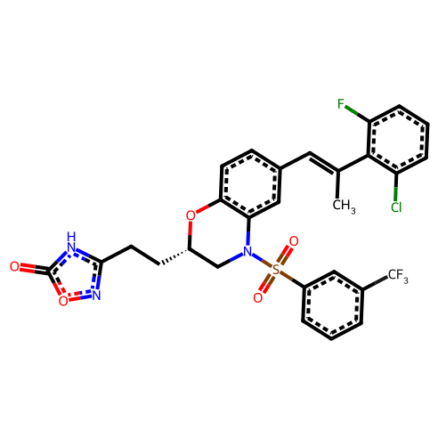 CC(=Cc1ccc2c(c1)N(S(=O)(=O)c1cccc(C(F)(F)F)c1)C[C@H](CCc1noc(=O)[nH]1)O2)c1c(F)cccc1Cl